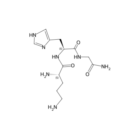 NCCC[C@H](N)C(=O)N[C@@H](Cc1c[nH]cn1)C(=O)NCC(N)=O